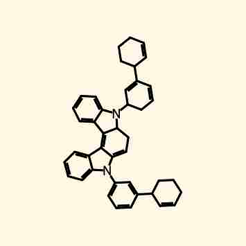 C1=CC(C2=CC(N3c4ccccc4C4=c5c(n(-c6cccc(C7C=CCCC7)c6)c6ccccc56)=CCC43)CC=C2)CCC1